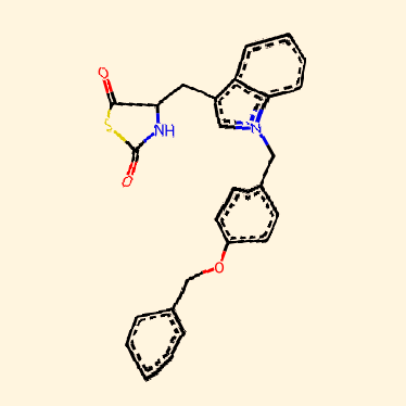 O=C1NC(Cc2cn(Cc3ccc(OCc4ccccc4)cc3)c3ccccc23)C(=O)S1